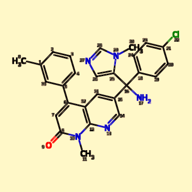 Cc1cccc(-c2cc(=O)n(C)c3ncc(C(N)(c4ccc(Cl)cc4)c4cncn4C)cc23)c1